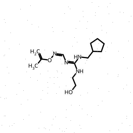 C=C(C)O/N=C\N=C(\NCCO)NCC1CCCC1